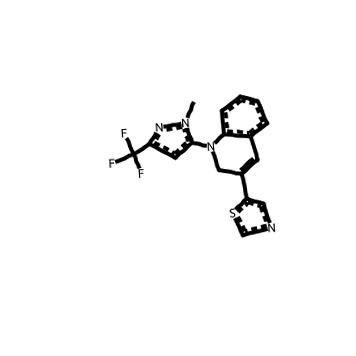 Cn1nc(C(F)(F)F)cc1N1CC(c2cncs2)=Cc2ccccc21